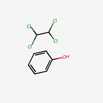 ClC(Cl)C(Cl)Cl.Oc1ccccc1